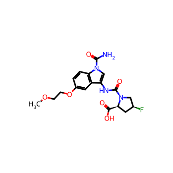 COCCOc1ccc2c(c1)c(NC(=O)N1C[C@@H](F)C[C@H]1C(=O)O)cn2C(N)=O